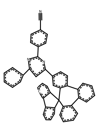 N#Cc1ccc(-c2nc(-c3ccccc3)cc(-c3ccc4c(c3)C3(c5ccccc5-c5ccccc5-4)c4ccccc4-c4ccccc43)n2)cc1